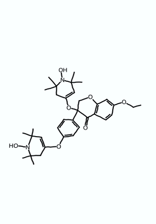 CCOc1ccc2c(c1)OCC(OC1=CC(C)(C)N(O)C(C)(C)C1)(c1ccc(OC3=CC(C)(C)N(O)C(C)(C)C3)cc1)C2=O